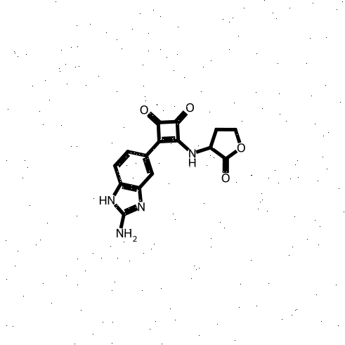 Nc1nc2cc(-c3c(NC4CCOC4=O)c(=O)c3=O)ccc2[nH]1